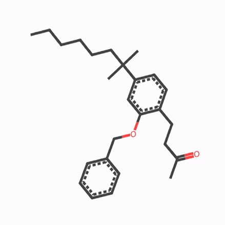 CCCCCCC(C)(C)c1ccc(CCC(C)=O)c(OCc2ccccc2)c1